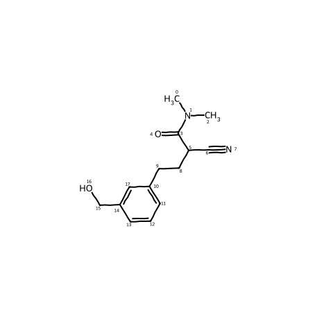 CN(C)C(=O)C(C#N)CCc1cccc(CO)c1